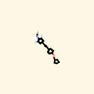 Fc1cc(C#Cc2ccc(OCC3CCCC3)cc2)cc(F)c1N=C=S